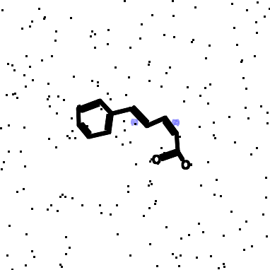 [O]C(=O)/C=C\C=C\c1ccccc1